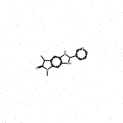 CC1C(=O)N(C)c2cc3c(cc21)NC(c1cccnc1)N3